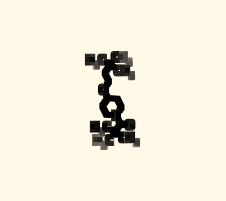 CC(C)(C)CCOC1CCN(C(=O)C(C)(C)C)CC1